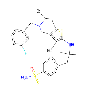 CCC1Cc2sc(NC(C)(C)Cc3ccc(S(N)(=O)=S)cc3)c(C#N)c2CN1Cc1cccc(F)c1